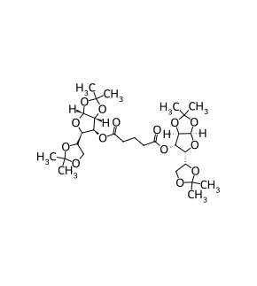 CC1(C)OCC([C@H]2O[C@@H]3OC(C)(C)O[C@@H]3[C@H]2OC(=O)CCCC(=O)O[C@@H]2[C@H]3OC(C)(C)O[C@H]3O[C@@H]2C2COC(C)(C)O2)O1